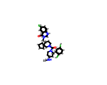 CCN[C@@H]1CCN(C(=O)N2CC[C@@H](Cn3cnc4ccc(F)cc4c3=O)C3(CCCC3)C2)[C@H](c2cc(F)ccc2F)C1